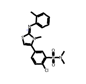 Cc1ccccc1/N=c1/scc(-c2ccc(Cl)c(S(=O)(=O)N(C)C)c2)n1C